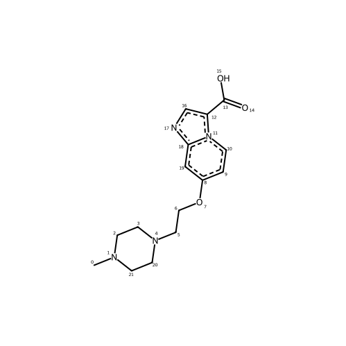 CN1CCN(CCOc2ccn3c(C(=O)O)cnc3c2)CC1